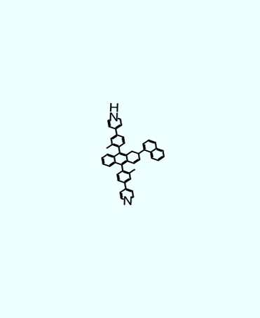 Cc1cc(-c2ccncc2)ccc1-c1c2c(c(-c3ccc(C4=CCNC=C4)cc3C)c3ccccc13)CC(c1cccc3ccccc13)C=C2